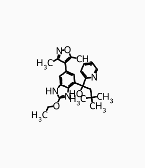 CCOc1nc2c(C(O)(CC(C)(C)C)c3ccccn3)cc(-c3c(C)noc3C)cc2[nH]1